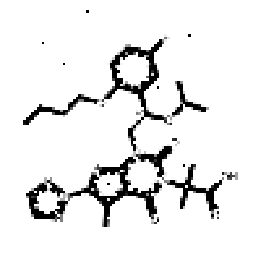 CCCCOc1ccc(F)cc1[C@H](Cn1c(=O)n(C(C)(C)C(=O)O)c(=O)c2c(C)c(-n3nccn3)sc21)OC(C)C